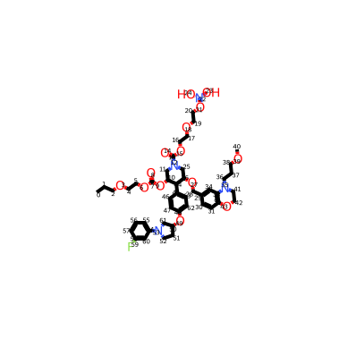 CCCOCCOC(=O)OC1CN(C(=O)OCCOCCON(O)O)CC(OCc2ccc3c(c2)N(CCCOC)CCO3)C1c1ccc(OC2CCN(c3cccc(F)c3)C2)cc1